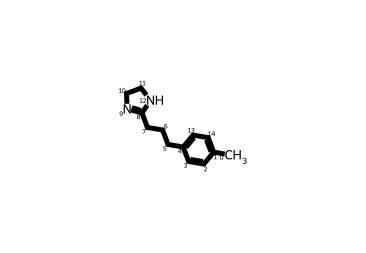 Cc1ccc(CCCC2=NCCN2)cc1